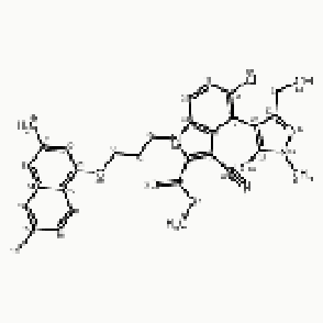 COC(=O)c1c(C#N)c2c(-c3c(CO)nn(C)c3C)c(Cl)ccc2n1CCCOc1cc(C)cc2cc(F)ccc12